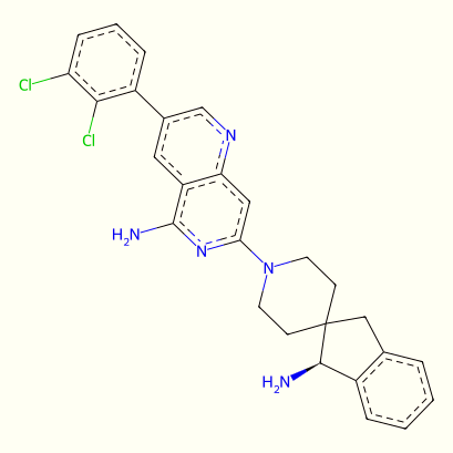 Nc1nc(N2CCC3(CC2)Cc2ccccc2[C@H]3N)cc2ncc(-c3cccc(Cl)c3Cl)cc12